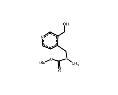 CN(Cc1ccncc1CO)C(=O)OC(C)(C)C